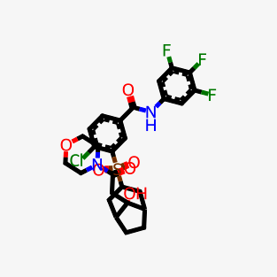 O=C(Nc1cc(F)c(F)c(F)c1)c1ccc(Cl)c(S(=O)(=O)C2CC3CCC(C2)C3(O)CC(=O)N2CCOCC2)c1